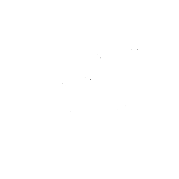 CCc1ccc2nc(C(N/C=C(\N)CCN3CCOCC3)c3ccc(OC)c(OC)c3)sc2c1